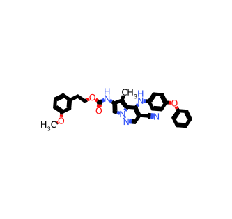 COc1cccc(CCOC(=O)Nc2cn3ncc(C#N)c(Nc4ccc(Oc5ccccc5)cc4)c3c2C)c1